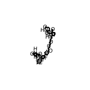 C[C@@H]1CN(c2cc(F)c(C3=CCN(C(=O)CCOCCOCCNc4cccc5c4C(=O)N(C4CCC(=O)NC4=O)C5=O)CC3)cc2NC(=O)c2c[nH]c(=O)cc2C(F)(F)F)C[C@H](C)N1C